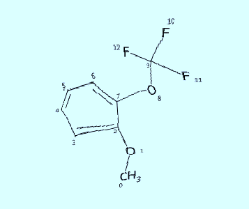 COc1cc[c]cc1OC(F)(F)F